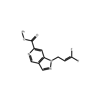 CC(C)OC(=O)c1cc2c(cn1)cnn2CC=C(F)F